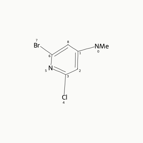 CNc1cc(Cl)nc(Br)c1